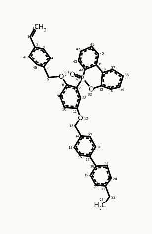 C=Cc1ccc(COc2ccc(OCc3ccc(-c4ccc(CC)cc4)cc3)cc2P2(=O)Oc3ccccc3-c3ccccc32)cc1